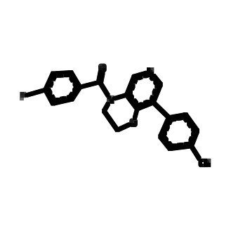 N#Cc1ccc(-c2cncc3c2OCCN3C(=O)c2ccc(F)cc2)cc1